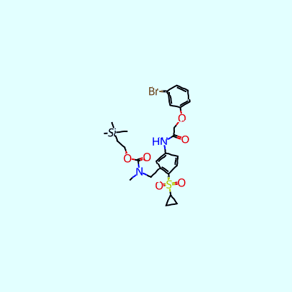 CN(Cc1cc(NC(=O)COc2cccc(Br)c2)ccc1S(=O)(=O)C1CC1)C(=O)OCC[Si](C)(C)C